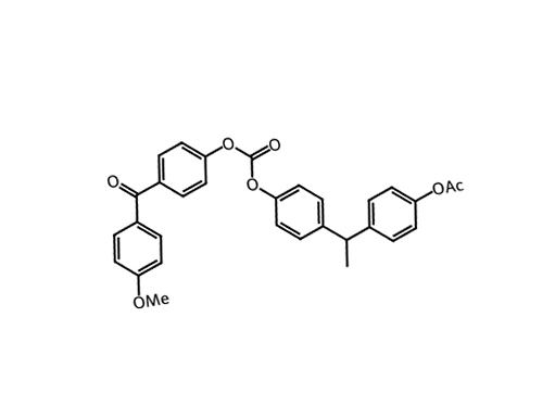 COc1ccc(C(=O)c2ccc(OC(=O)Oc3ccc(C(C)c4ccc(OC(C)=O)cc4)cc3)cc2)cc1